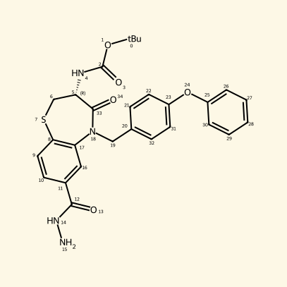 CC(C)(C)OC(=O)N[C@H]1CSc2ccc(C(=O)NN)cc2N(Cc2ccc(Oc3ccccc3)cc2)C1=O